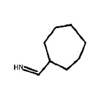 N=CC1CCCCCC1